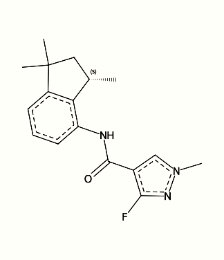 C[C@H]1CC(C)(C)c2cccc(NC(=O)c3cn(C)nc3F)c21